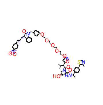 Cc1ncsc1-c1ccc(C(C)NC(=O)[C@@H]2C[C@@H](O)CN2C(=O)C(c2cc(OCCOCCOCCOCCOc3ccc(CN4C(=O)/C(=C/C=C/c5ccc([N+](=O)[O-])cc5)c5ccccc54)cc3)no2)C(C)C)cc1